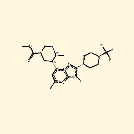 COC(=O)N1CC[C@@H](C)[C@H](c2cc(C)nc3c(F)c([C@H]4CC[C@H](C(F)(F)F)CC4)nn23)C1